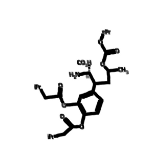 CCCOC(=O)OC(C)CC(c1ccc(OC(=O)CC(C)C)c(OC(=O)CC(C)C)c1)[C@H](N)C(=O)O